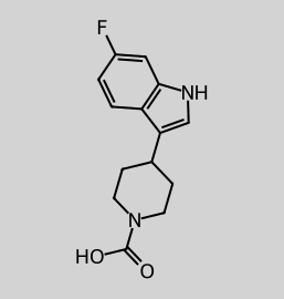 O=C(O)N1CCC(c2c[nH]c3cc(F)ccc23)CC1